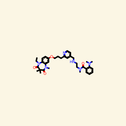 CCN1C(=O)C(C)(C)C(=O)N(C)c2cc(OCCCc3cc(CNCCN(C)C(=O)c4ccccc4N(C)C)ccn3)ccc21